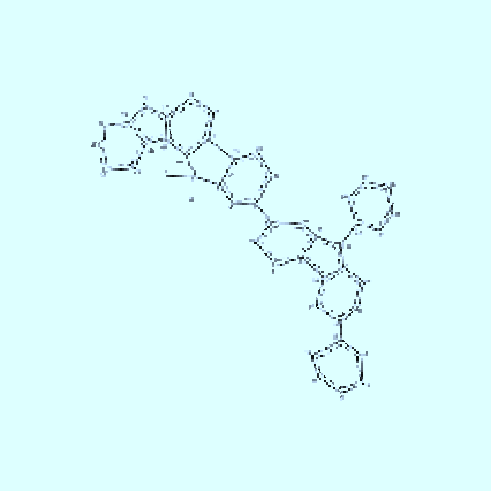 CC1(C)c2cc(-c3ccc4c5cc(-c6ccccc6)ccc5n(-c5ccccc5)c4c3)ccc2-c2ccc3sc4ccccc4c3c21